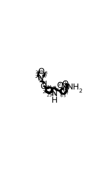 NC(=O)n1c[c]cc(-c2cc3cc(OCCN4CCOCC4)ccc3[nH]2)c1=O